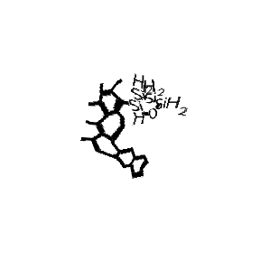 Cc1c(C)c(C)c2c(C)c3c(C)cc4cc5ccccc5cc4c3cc2c1[SiH]1CO[SiH2][SiH2][SiH2]1